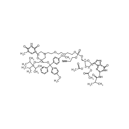 COc1ccc(C(OC[C@]2(CO[Si](C(C)C)(C(C)C)C(C)C)CN(CCOCCOCCOP(=O)(OCCC#N)OC[C@H]3O[C@@H](n4cnc5c(=O)[nH]c(NC(=O)C(C)C)nc54)[C@H](OC(C)=O)[C@@H]3OC(C)=O)C[C@H](n3cc(C)c(=O)[nH]c3=O)O2)(c2ccccc2)c2ccc(OC)cc2)cc1